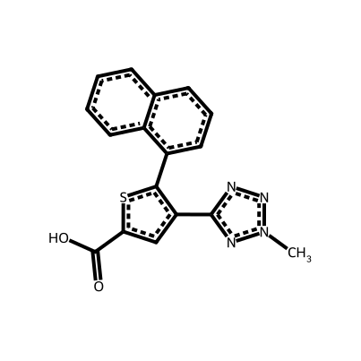 Cn1nnc(-c2cc(C(=O)O)sc2-c2cccc3ccccc23)n1